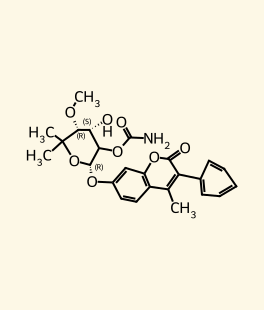 CO[C@@H]1[C@H](O)C(OC(N)=O)[C@H](Oc2ccc3c(C)c(-c4ccccc4)c(=O)oc3c2)OC1(C)C